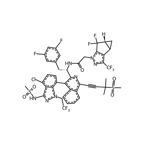 CC(C)(C#Cc1nc([C@H](Cc2cc(F)cc(F)c2)NC(=O)Cn2nc(C(F)(F)F)c3c2C(F)(F)[C@@H]2CC32)c(-c2ccc(Cl)c3c(NS(C)(=O)=O)nn(CC(F)(F)F)c23)c2ccccc12)S(C)(=O)=O